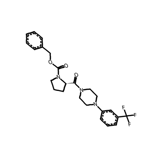 O=C([C@@H]1CCCN1C(=O)OCc1ccccc1)N1CCN(c2cccc(C(F)(F)F)c2)CC1